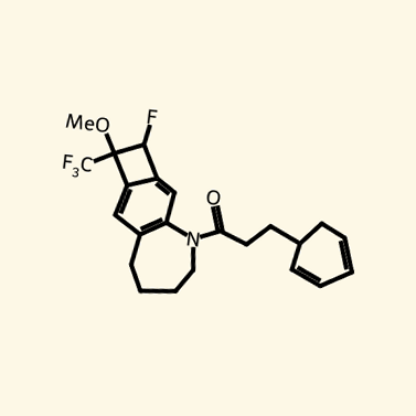 COC1(C(F)(F)F)c2cc3c(cc2C1F)N(C(=O)CCC1C=CC=CC1)CCCC3